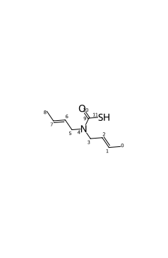 CC=CCN(CC=CC)C(=O)S